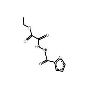 CCOC(=O)C(=O)NNC(=O)c1ccco1